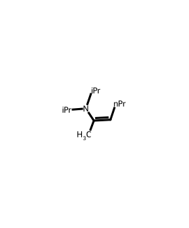 CCCC=C(C)N(C(C)C)C(C)C